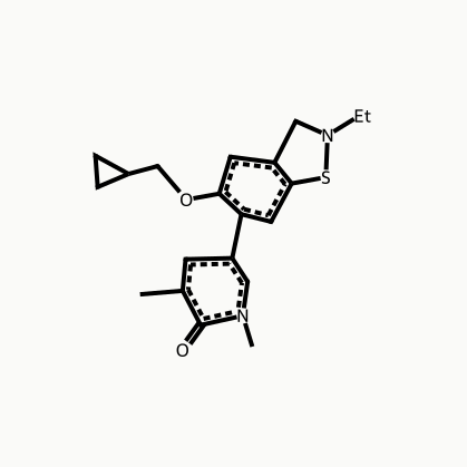 CCN1Cc2cc(OCC3CC3)c(-c3cc(C)c(=O)n(C)c3)cc2S1